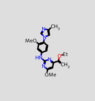 C=C(OCC)c1cc(OC)nc(Nc2ccc(-n3cnc(C)c3)c(OC)c2)n1